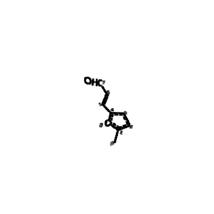 Cc1ccc(C=CC=O)o1